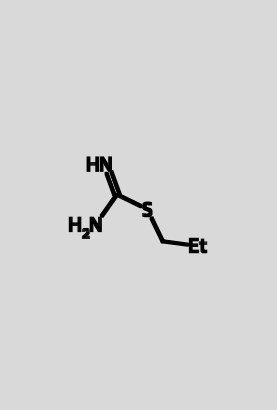 [CH2]CCSC(=N)N